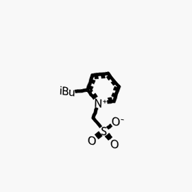 CCC(C)c1cccc[n+]1CS(=O)(=O)[O-]